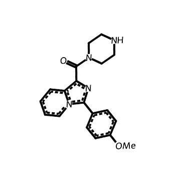 COc1ccc(-c2nc(C(=O)N3CCNCC3)c3ccccn23)cc1